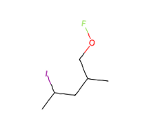 CC(I)CC(C)COF